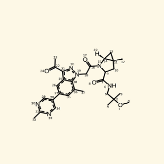 COC(C)(C)CNC(=O)C1C[C@@]2(C)C[C@H]2N1C(=O)Cn1nc(C(C)=O)c2cc(-c3cnc(C)nc3)cc(C)c21